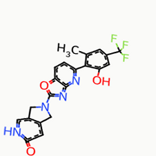 Cc1cc(C(F)(F)F)cc(O)c1-c1ccc2oc(N3Cc4c[nH]c(=O)cc4C3)nc2n1